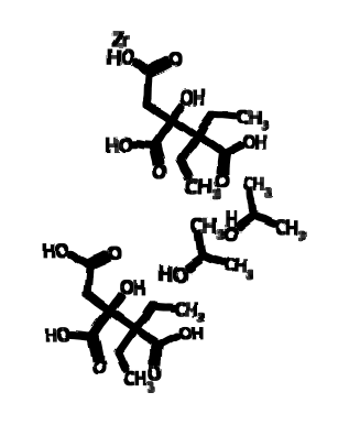 CC(C)O.CC(C)O.CCC(CC)(C(=O)O)C(O)(CC(=O)O)C(=O)O.CCC(CC)(C(=O)O)C(O)(CC(=O)O)C(=O)O.[Zr]